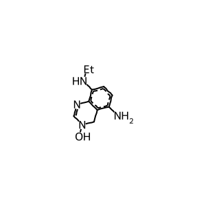 CCNc1ccc(N)c2c1N=CN(O)C2